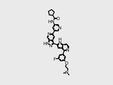 CN(C)CCOc1cc(F)cc(-c2nccc3[nH]c(-c4n[nH]c5cnc(-c6cncc(NC(=O)C7CCCC7)c6)cc45)cc23)c1